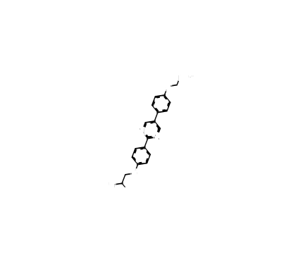 CCCCCCCCCCCOc1ccc(-c2cnc(-c3ccc(OCC(F)C(C)CC)cc3)nc2)cc1